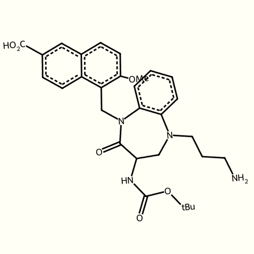 COc1ccc2cc(C(=O)O)ccc2c1CN1C(=O)C(NC(=O)OC(C)(C)C)CN(CCCN)c2ccccc21